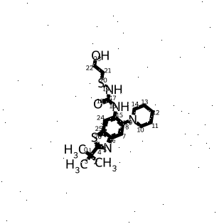 CC(C)(C)c1nc2cc(N3CCCCC3)c(NC(=O)NSCCO)cc2s1